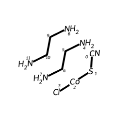 N#C[S][Co][Cl].NCCN.NCCN